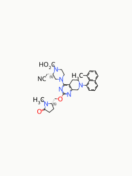 Cc1cccc2cccc(N3CCc4c(nc(OC[C@@H]5CCC(=O)N5C)nc4N4CCN(C(=O)O)[C@@H](CC#N)C4)C3)c12